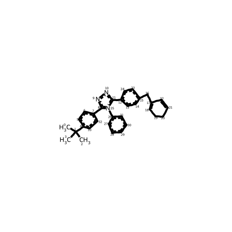 CC(C)(C)c1ccc(-c2nnc(-c3ccc(CC4=CCCC=C4)cc3)n2-c2ccccc2)cc1